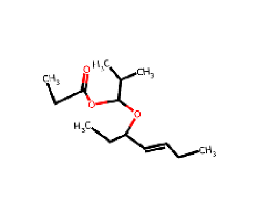 CCC=CC(CC)OC(OC(=O)CC)C(C)C